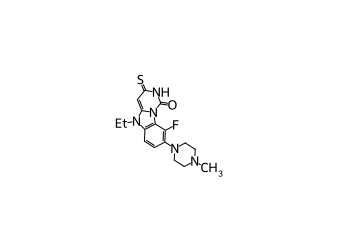 CCn1c2ccc(N3CCN(C)CC3)c(F)c2n2c(=O)[nH]c(=S)cc12